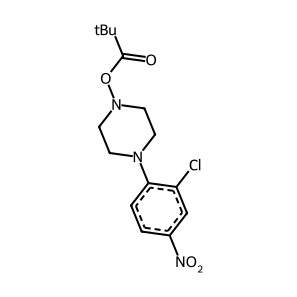 CC(C)(C)C(=O)ON1CCN(c2ccc([N+](=O)[O-])cc2Cl)CC1